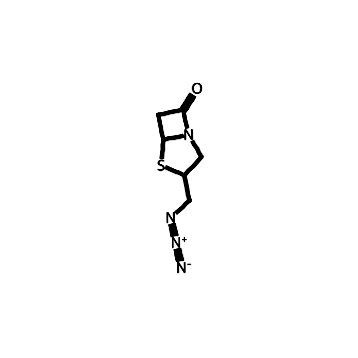 [N-]=[N+]=NCC1CN2C(=O)CC2S1